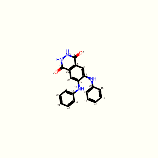 O=c1[nH][nH]c(=O)c2cc(Nc3ccccc3)c(Nc3ccccc3)cc12